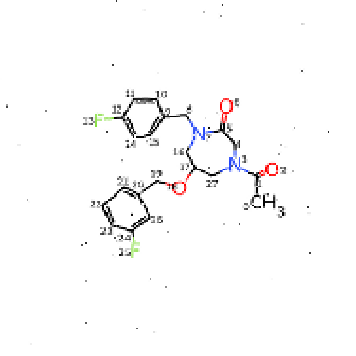 CC(=O)N1CC(=O)N(Cc2ccc(F)cc2)CC(OCc2cccc(F)c2)C1